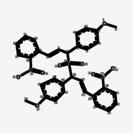 COc1ccc(C(C=Cc2ccccc2[N+](=O)[O-])S(=O)(=O)C(C=Cc2ccccc2[N+](=O)[O-])c2ccc(OC)cc2)cc1